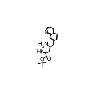 CC(C)(C)OC(=O)C(=N)CC(N)Cc1ccc2cccnc2c1